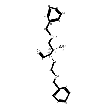 O=C[C@@H](CCOCc1ccccc1)[C@@H](O)COCc1ccccc1